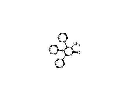 O=c1cc(-c2ccccc2)n(-c2ccccc2)c(-c2ccccc2)c1C(F)(F)F